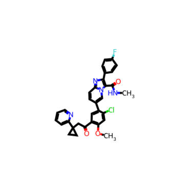 CNC(=O)c1c(-c2ccc(F)cc2)nc2ccc(-c3cc(C(=O)CC4(c5ccccn5)CC4)c(OC)cc3Cl)cn12